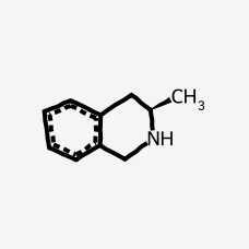 C[C@@H]1Cc2ccccc2CN1